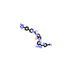 Cn1cnc(-c2ccc(C3=CCN(C(=O)CN4CC[C@]5(CCN(c6ccc7[nH]nc(-c8ccc(C#N)cn8)c7n6)C5=O)C4)CC3)cc2)n1